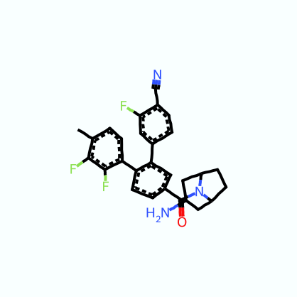 Cc1ccc(-c2ccc(C(=O)N3C4CCC3CC(N)C4)cc2-c2ccc(C#N)c(F)c2)c(F)c1F